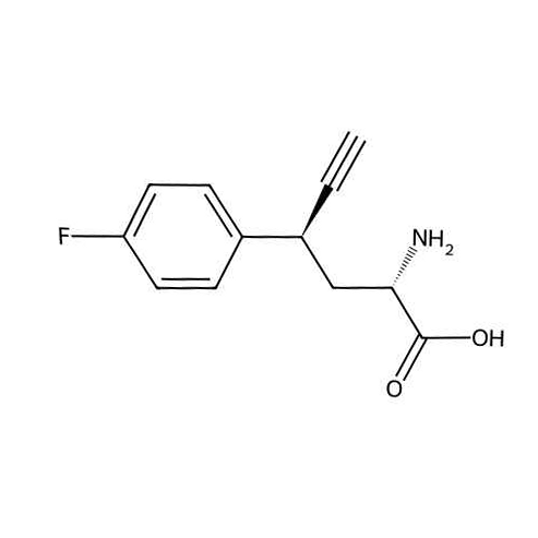 C#C[C@@H](C[C@H](N)C(=O)O)c1ccc(F)cc1